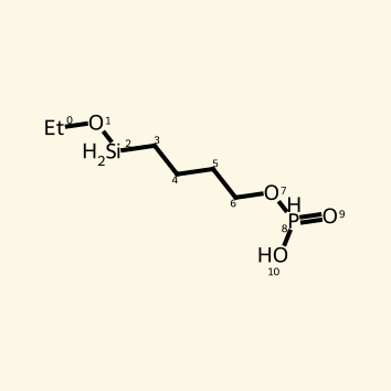 CCO[SiH2]CCCCO[PH](=O)O